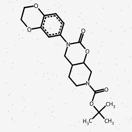 CC(C)(C)OC(=O)N1CCC2CN(c3ccc4c(c3)OCCO4)C(=O)OC2C1